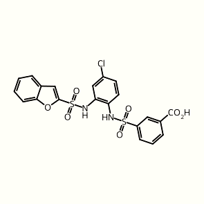 O=C(O)c1cccc(S(=O)(=O)Nc2ccc(Cl)cc2NS(=O)(=O)c2cc3ccccc3o2)c1